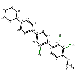 CCc1ccc(-c2ccc(-c3ccc(C4CCCCC4)cc3)cc2F)c(F)c1F